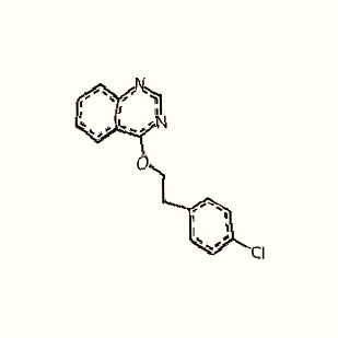 Clc1ccc(CCOc2ncnc3ccccc23)cc1